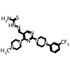 CN1CCN(c2nc(N3CCN(c4cccc(C(F)(F)F)c4)CC3)ncc2C=NNC(N)=S)CC1